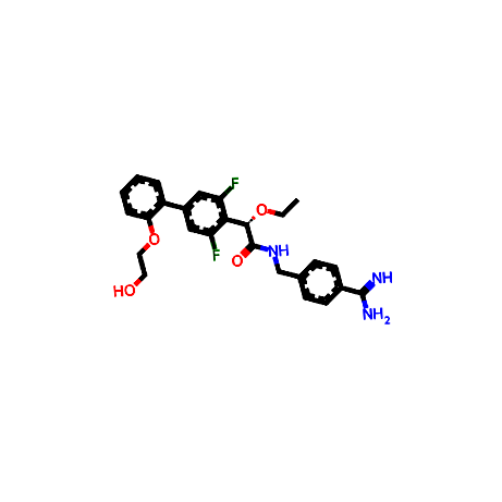 CCO[C@H](C(=O)NCc1ccc(C(=N)N)cc1)c1c(F)cc(-c2ccccc2OCCO)cc1F